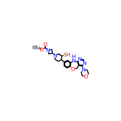 CC(C)(C)OC(=O)N1CC(N2CCC(c3ccc4c(c3)Nc3ncnc(N5CCOCC5)c3CO4)C(S)C2)C1